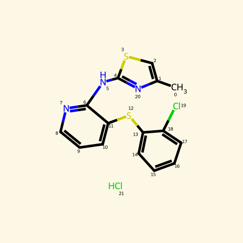 Cc1csc(Nc2ncccc2Sc2ccccc2Cl)n1.Cl